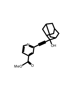 COC(=O)c1ccnc(C#CC2(O)C3CC4CC(C3)CC2C4)c1